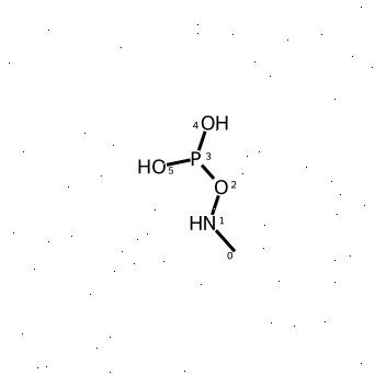 CNOP(O)O